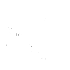 C/C(=C/C(NC(=O)OC(C)(C)C)C(c1ccc(OCc2ccccc2)cc1)C(C)(C)C)C(=O)OC(C)(C)C